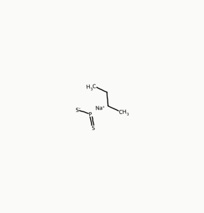 CCCC.S=P[S-].[Na+]